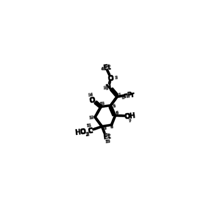 CCCC(=NOCC)C1=C(O)CC(CC)(C(=O)O)CC1=O